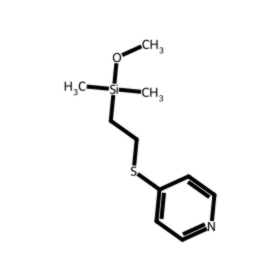 CO[Si](C)(C)CCSc1ccncc1